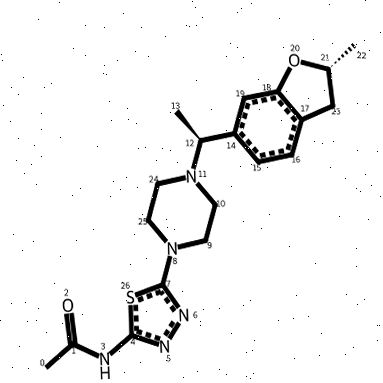 CC(=O)Nc1nnc(N2CCN([C@@H](C)c3ccc4c(c3)O[C@H](C)C4)CC2)s1